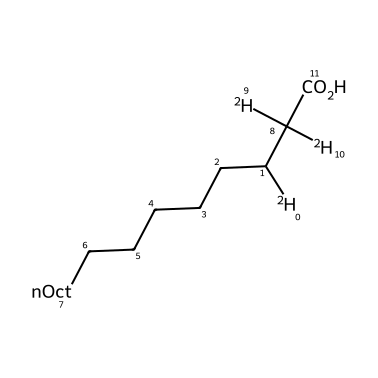 [2H]C(CCCCCCCCCCCCC)C([2H])([2H])C(=O)O